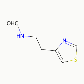 O=CNCCc1cscn1